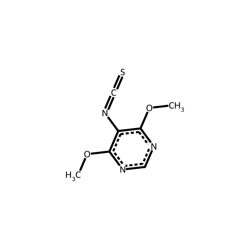 COc1ncnc(OC)c1N=C=S